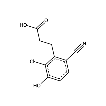 N#Cc1ccc(O)c(Cl)c1CCC(=O)O